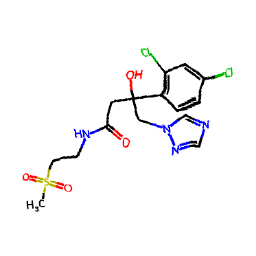 CS(=O)(=O)CCNC(=O)CC(O)(Cn1cncn1)c1ccc(Cl)cc1Cl